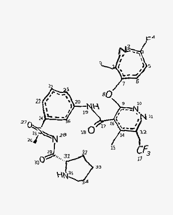 Cc1nc(F)ccc1Oc1nnc(C(F)(F)F)c(C)c1C(=O)Nc1cccc([S@@](C)(=O)=NC(=O)[C@@H]2CCCN2)c1